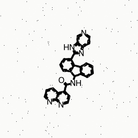 O=C(NC1c2ccccc2-c2c(-c3nc4ccncc4[nH]3)cccc21)c1ccnc2ncccc12